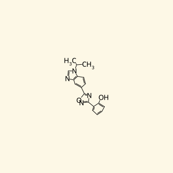 CC(C)n1cnc2cc(-c3nc(-c4ccccc4O)no3)ccc21